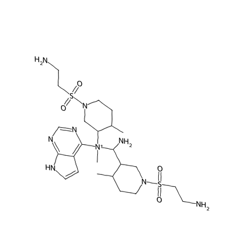 CC1CCN(S(=O)(=O)CCN)CC1C(N)[N+](C)(c1ncnc2[nH]ccc12)C1CN(S(=O)(=O)CCN)CCC1C